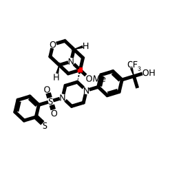 COC1C[C@H]2COC[C@@H](C1)N2C[C@H]1CN(S(=O)(=O)C2=CC=CCC2=S)CCN1c1ccc([C@@](C)(O)C(F)(F)F)cc1